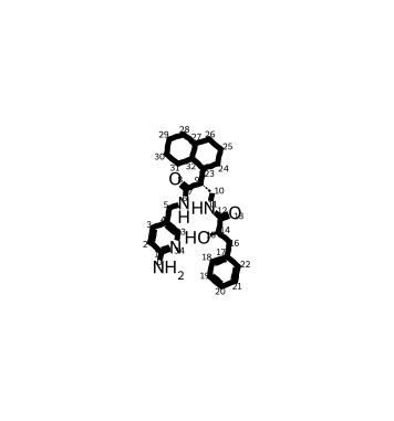 Nc1ccc(CNC(=O)[C@@H](CNC(=O)[C@H](O)Cc2ccccc2)C2CCCC3CCCCC32)cn1